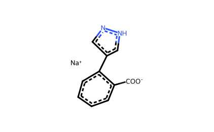 O=C([O-])c1ccccc1-c1cn[nH]c1.[Na+]